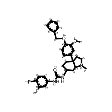 COc1cc(C23CCC(NC(=O)Nc4ccc(F)c(F)c4)CC2N(C)CC3)ccc1OCc1ccccc1